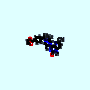 CCC(c1ccc(C2OCCO2)cc1)N1C[C@H](C)N(c2nc(=O)n(C)c3ccc(C#N)nc23)C[C@H]1CC